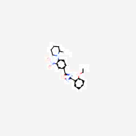 CCOc1ccccc1-c1noc(-c2ccc(N3CCCCC3C)c([N+](=O)[O-])c2)n1